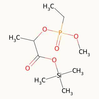 CCP(=O)(OC)OC(C)C(=O)O[Si](C)(C)C